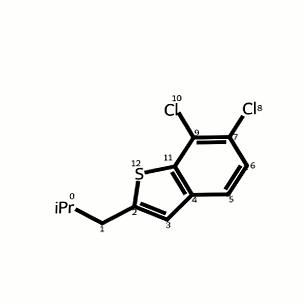 CC(C)Cc1cc2c[c]c(Cl)c(Cl)c2s1